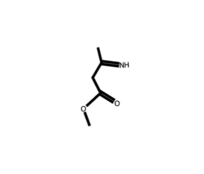 COC(=O)CC(C)=N